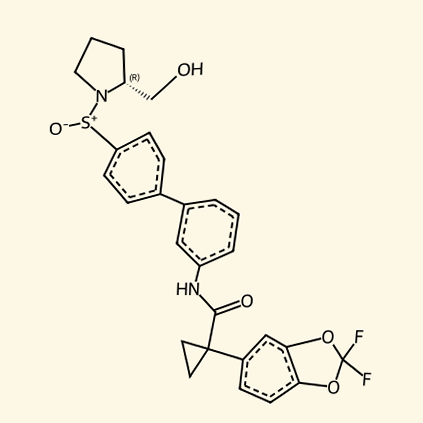 O=C(Nc1cccc(-c2ccc([S+]([O-])N3CCC[C@@H]3CO)cc2)c1)C1(c2ccc3c(c2)OC(F)(F)O3)CC1